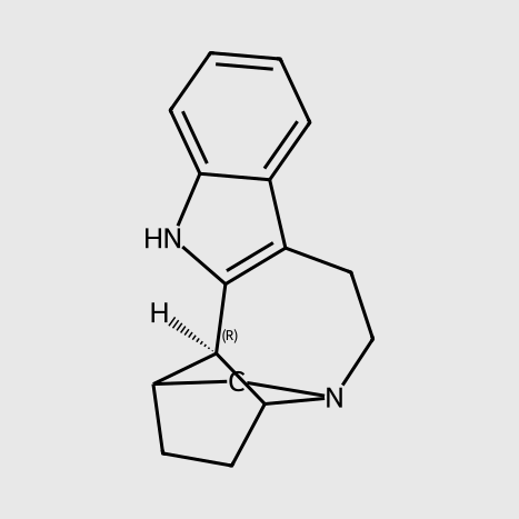 c1ccc2c3c([nH]c2c1)[C@@H]1C2CCC1N(CC3)C2